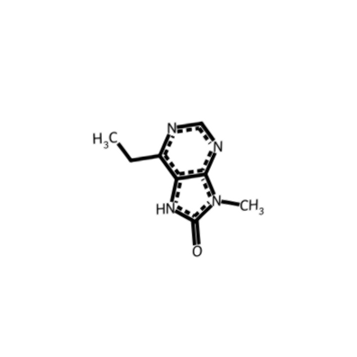 CCc1ncnc2c1[nH]c(=O)n2C